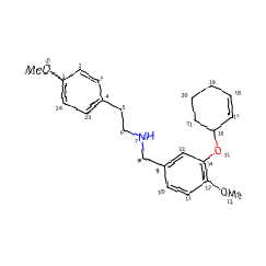 COc1ccc(CCNCc2ccc(OC)c(OC3C=CCCC3)c2)cc1